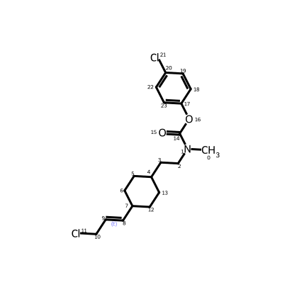 CN(CCC1CCC(/C=C/CCl)CC1)C(=O)Oc1ccc(Cl)cc1